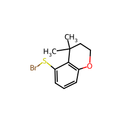 CC1(C)CCOc2cccc(SBr)c21